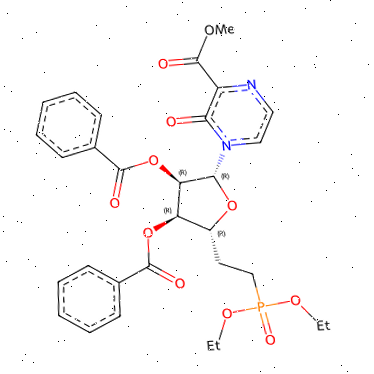 CCOP(=O)(CC[C@H]1O[C@@H](n2ccnc(C(=O)OC)c2=O)[C@H](OC(=O)c2ccccc2)[C@@H]1OC(=O)c1ccccc1)OCC